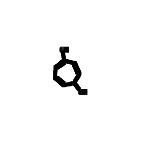 OC1=CC=CC(O)C=C1